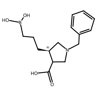 O=C(O)C1CN(Cc2ccccc2)C[C@@H]1CCCB(O)O